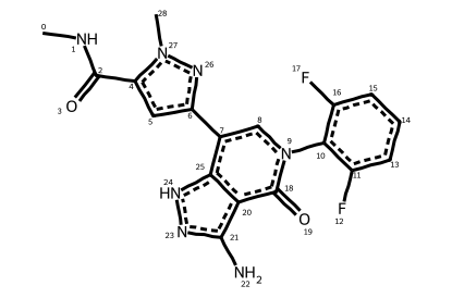 CNC(=O)c1cc(-c2cn(-c3c(F)cccc3F)c(=O)c3c(N)n[nH]c23)nn1C